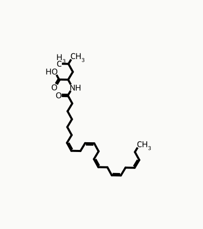 CC/C=C\C/C=C\C/C=C\C/C=C\C/C=C\CCCCCC(=O)NC(CC(C)C)C(=O)O